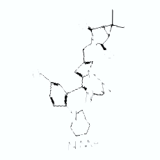 CN[C@H]1CCCN(c2ccc(Cl)cc2-c2ncnn3cc(CN4C(=O)C5C(C4=O)C5(C)C)cc23)C1